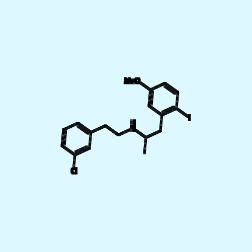 COc1ccc(I)c(CC(C)NCCc2cccc(Cl)c2)c1